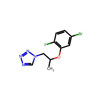 CC(Cn1cnnn1)Oc1cc(Br)ccc1F